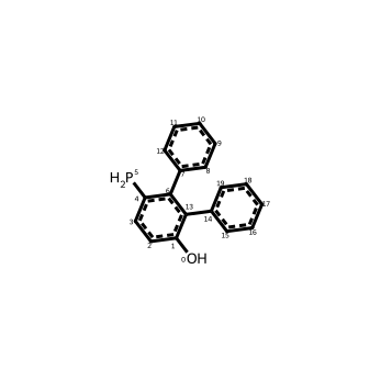 Oc1ccc(P)c(-c2ccccc2)c1-c1ccccc1